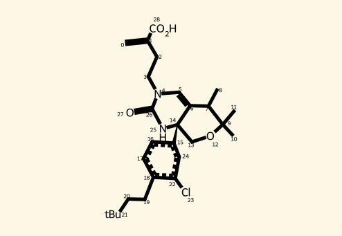 C=C(CCN1C=C2C(C)C(C)(C)OC[C@]2(c2ccc(CCC(C)(C)C)c(Cl)c2)NC1=O)C(=O)O